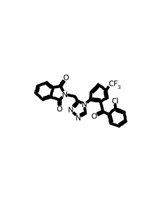 O=C(c1ccccc1Cl)c1cc(C(F)(F)F)ccc1-n1cnnc1CN1C(=O)c2ccccc2C1=O